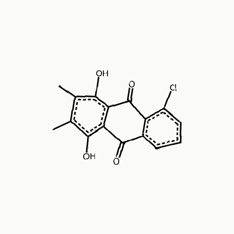 Cc1c(C)c(O)c2c(c1O)C(=O)c1cccc(Cl)c1C2=O